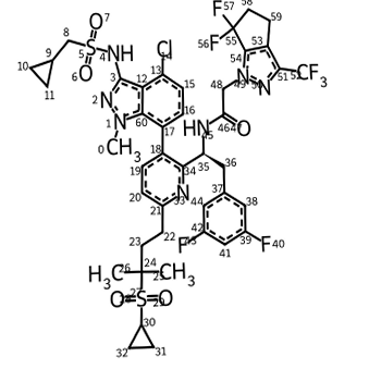 Cn1nc(NS(=O)(=O)CC2CC2)c2c(Cl)ccc(-c3ccc(CCC(C)(C)S(=O)(=O)C4CC4)nc3[C@H](Cc3cc(F)cc(F)c3)NC(=O)Cn3nc(C(F)(F)F)c4c3C(F)(F)CC4)c21